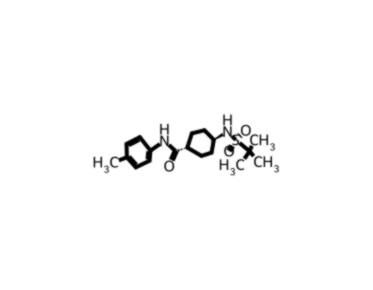 Cc1ccc(NC(=O)[C@H]2CC[C@H](NS(=O)(=O)C(C)(C)C)CC2)cc1